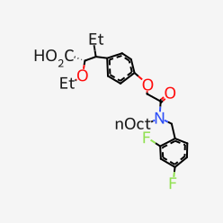 CCCCCCCCN(Cc1ccc(F)cc1F)C(=O)COc1ccc(C(CC)[C@H](OCC)C(=O)O)cc1